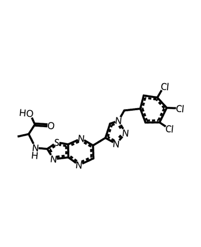 CC(Nc1nc2ncc(-c3cn(Cc4cc(Cl)c(Cl)c(Cl)c4)nn3)nc2s1)C(=O)O